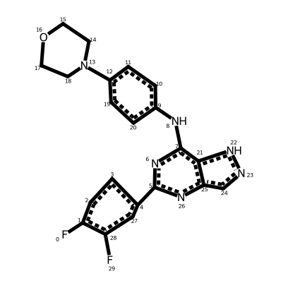 Fc1ccc(-c2nc(Nc3ccc(N4CCOCC4)cc3)c3[nH]ncc3n2)cc1F